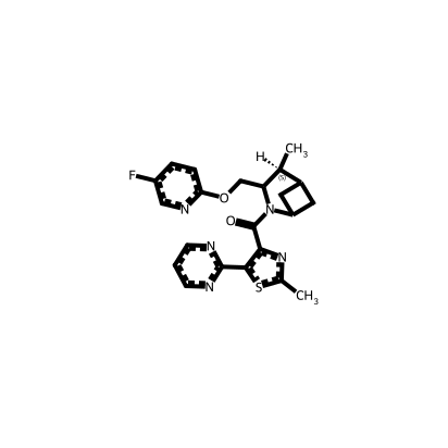 Cc1nc(C(=O)N2C3CC(C3)[C@H](C)C2COc2ccc(F)cn2)c(-c2ncccn2)s1